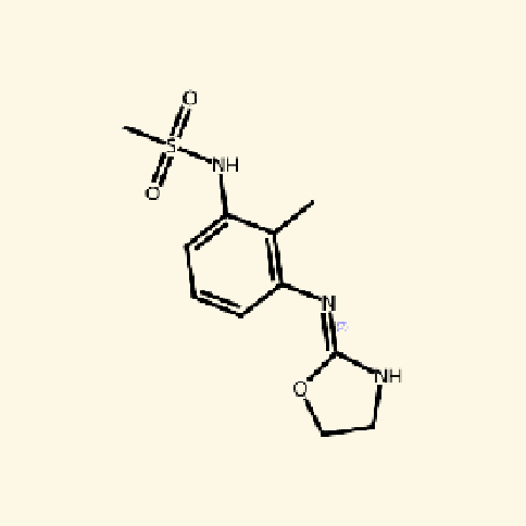 Cc1c(/N=C2/NCCO2)cccc1NS(C)(=O)=O